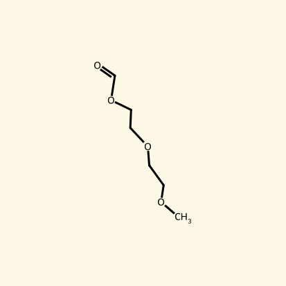 COCCOCCOC=O